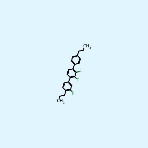 CCCc1ccc(-c2ccc(-c3ccc(CCC)c(F)c3)c(F)c2F)cc1